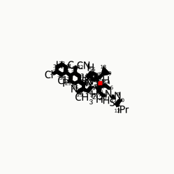 [2H]C1([2H])[C@@H]2C[C@H](CN1c1ncc(C(C)C)s1)N(C(=O)C1CC1)[C@H]2c1cc2c(C)nc3c(F)c(-c4cccc(Cl)c4Cl)c(C(C)C#N)cc3c2n1[C@H]1[C@H]2CN[C@@H]1C2